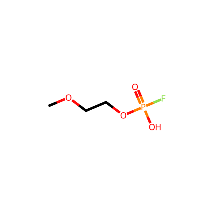 COCCOP(=O)(O)F